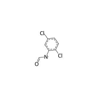 O=C[N]c1cc(Cl)ccc1Cl